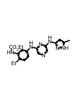 CCOC(=O)Nc1cc(Nc2cncc(Nc3cc(C)[nH]n3)n2)ccc1CC